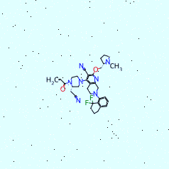 C=CC(=O)N1CCN(c2c(C#N)c(OC[C@@H]3CCCN3C)nc3c2CCN(c2cccc4c2C(F)(F)CCC4)C3)C[C@@H]1CC#N